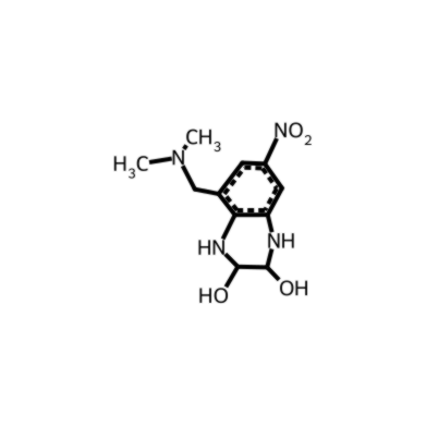 CN(C)Cc1cc([N+](=O)[O-])cc2c1NC(O)C(O)N2